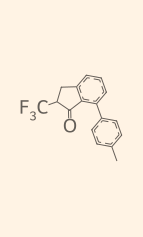 Cc1ccc(-c2cccc3c2C(=O)C(C(F)(F)F)C3)cc1